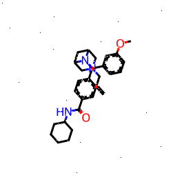 C=CCN1CC2CC(C1)N2C(c1ccc(C(=O)NC2CCCCC2)cc1)c1cccc(OC)c1